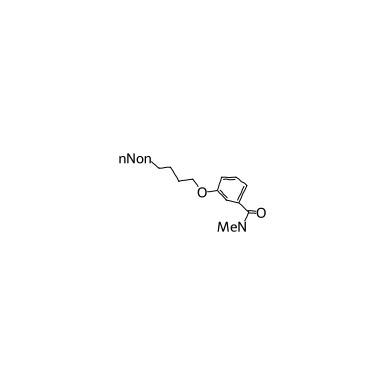 CCCCCCCCCCCCCOc1cccc(C(=O)NC)c1